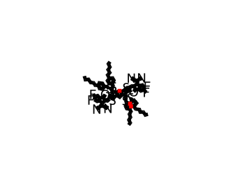 CCCCCCc1ccc(CS/C(Sc2ccc(CCCCCC)cc2)=C2/c3cc4c(cc3-c3sc(/C=C5\C(=O)c6cc(F)c(F)cc6C5=C(C#N)C#N)cc32)C(=C(Sc2ccc(CCCCCC)cc2)Sc2ccc(CCCCCC)cc2)c2cc(/C=C3\C(=O)c5cc(F)c(F)cc5C3=C(C#N)C#N)sc2-4)cc1